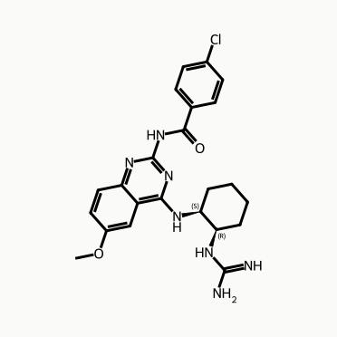 COc1ccc2nc(NC(=O)c3ccc(Cl)cc3)nc(N[C@H]3CCCC[C@H]3NC(=N)N)c2c1